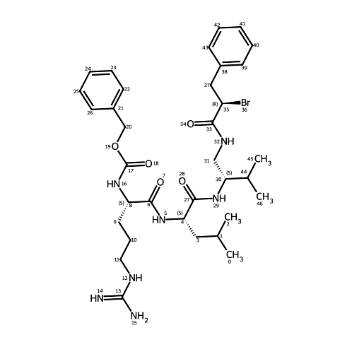 CC(C)C[C@H](NC(=O)[C@H](CCCNC(=N)N)NC(=O)OCc1ccccc1)C(=O)N[C@H](CNC(=O)[C@H](Br)Cc1ccccc1)C(C)C